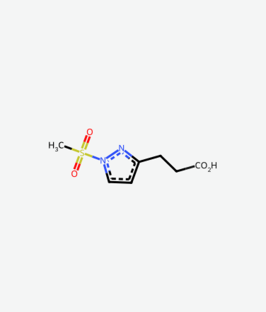 CS(=O)(=O)n1ccc(CCC(=O)O)n1